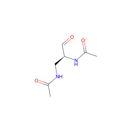 CC(=O)NC[C@@H](C=O)NC(C)=O